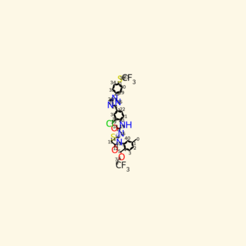 Cc1ccc(COCC(F)(F)F)c(N2C(=O)CS/C2=N\C(=O)Nc2ccc(-c3ncn(-c4ccc(SC(F)(F)F)cc4)n3)cc2Cl)c1